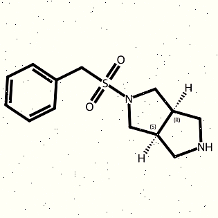 O=S(=O)(Cc1ccccc1)N1C[C@H]2CNC[C@H]2C1